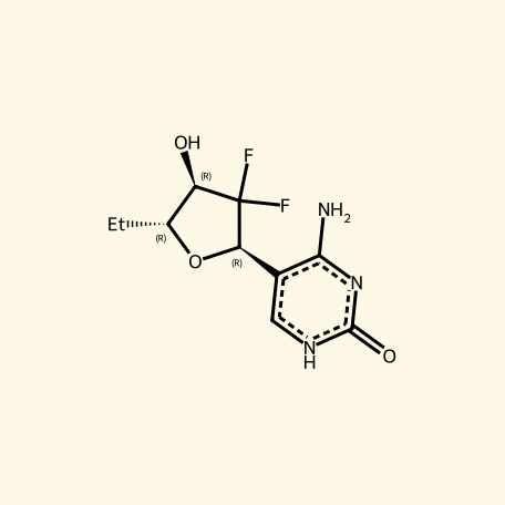 [CH2]C[C@H]1O[C@H](c2c[nH]c(=O)nc2N)C(F)(F)[C@@H]1O